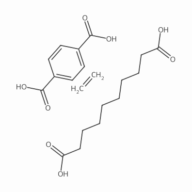 C=C.O=C(O)CCCCCCCCC(=O)O.O=C(O)c1ccc(C(=O)O)cc1